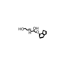 OCCNCC(O)COc1cccc2c1CC=C2